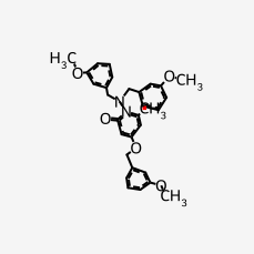 COc1cccc(COc2cc(C)n(N(Cc3cccc(OC)c3)Cc3cccc(OC)c3)c(=O)c2)c1